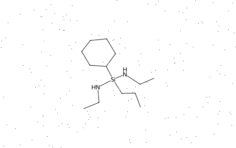 CCC[Si](NCC)(NCC)C1CCCCC1